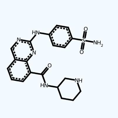 NS(=O)(=O)c1ccc(Nc2ncc3cccc(C(=O)NC4CCCNC4)c3n2)cc1